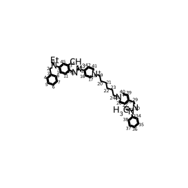 CCN(Cc1ccccc1)c1ccc(/N=N/c2cc[n+](CCCCCC[n+]3ccc(/C=N\N(C)c4ccccc4)cc3)cc2)c(C)c1